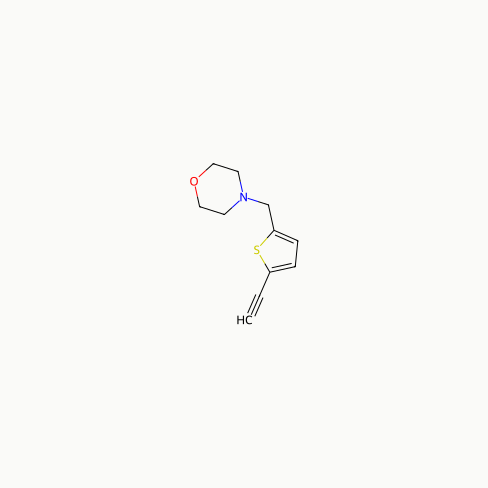 C#Cc1ccc(CN2CCOCC2)s1